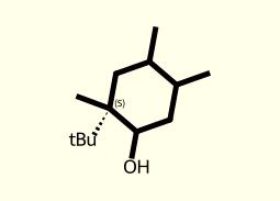 CC1CC(O)[C@](C)(C(C)(C)C)CC1C